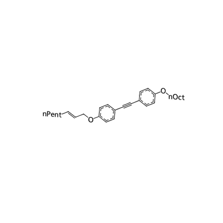 CCCCCC=CCOc1ccc(C#Cc2ccc(OCCCCCCCC)cc2)cc1